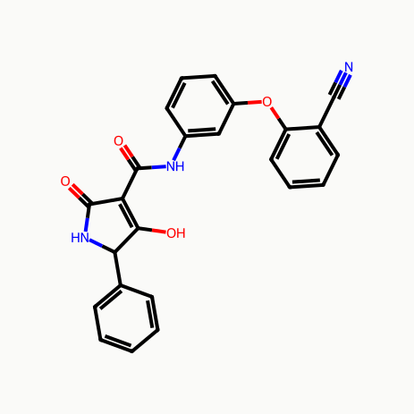 N#Cc1ccccc1Oc1cccc(NC(=O)C2=C(O)C(c3ccccc3)NC2=O)c1